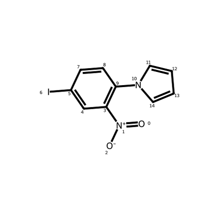 O=[N+]([O-])c1cc(I)ccc1-n1cccc1